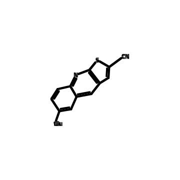 CC(C)(C)c1ccc2nc3sc(C#N)cc3cc2c1